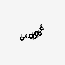 C[C@]12CC[C@H](NC(=O)[C@H]3CCCN3)C[C@H]1CC[C@@H]1[C@@H]2CC[C@]2(C)[C@@H](C3=CC(=O)OC3)CC[C@]12O